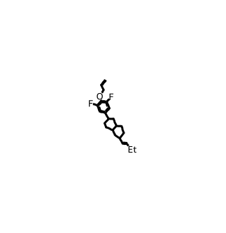 C=CCOc1c(F)cc(C2CCC3CC(/C=C/CC)CCC3C2)cc1F